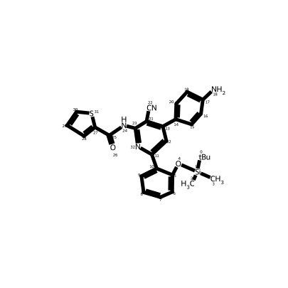 CC(C)(C)[Si](C)(C)Oc1ccccc1-c1cc(-c2ccc(N)cc2)c(C#N)c(NC(=O)c2cccs2)n1